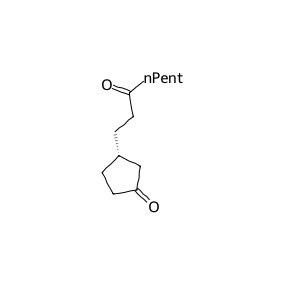 CCCCCC(=O)CC[C@H]1CCC(=O)C1